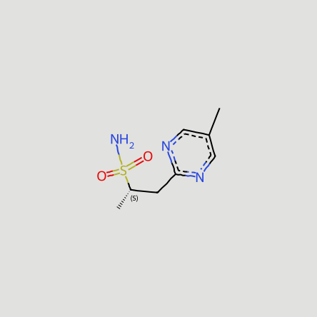 Cc1cnc(C[C@H](C)S(N)(=O)=O)nc1